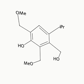 COCc1cc(C(C)C)c(CO)c(COC)c1O